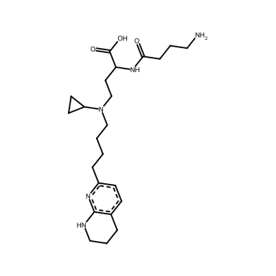 NCCCC(=O)NC(CCN(CCCCc1ccc2c(n1)NCCC2)C1CC1)C(=O)O